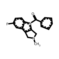 CN1Cc2c(n(C(=O)c3ccccc3)c3ccc(F)cc23)C1